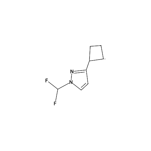 FC(F)n1ccc(C2[CH]CC2)n1